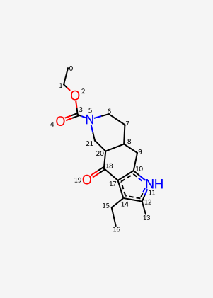 CCOC(=O)N1CCC2Cc3[nH]c(C)c(CC)c3C(=O)C2C1